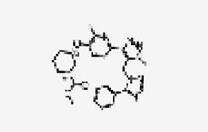 COC(=O)[C@H]1CCC[C@H](Oc2ccc(-c3nnn(C)c3Cn3ncnc3-c3ccccc3)nc2C)C1